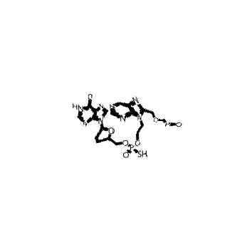 O=PCOCc1nc2cncnc2n1CCOP(=O)(S)OCC1CCC(n2cnc3c(=O)[nH]cnc32)O1